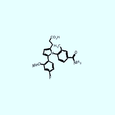 COc1cc(F)ccc1-c1ccc(CCC(=O)O)n1-c1ccc(C(N)=O)cc1C